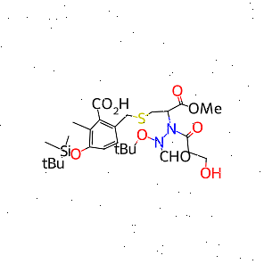 COC(=O)C(CSCc1ccc(O[Si](C)(C)C(C)(C)C)c(C)c1C(=O)O)N(C(=O)CCO)N(C=O)OC(C)(C)C